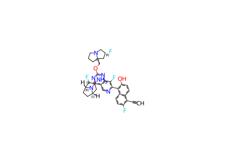 C#Cc1c(F)ccc2c(-c3ncc4c(N5[C@H]6CC[C@@H]5[C@@H](F)[C@H](N)C6)nc(OC[C@@]56CCCN5C[C@H](F)C6)nc4c3F)c(O)ccc12